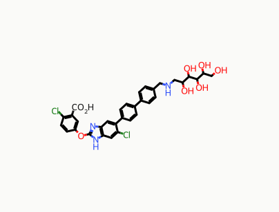 O=C(O)c1cc(Oc2nc3cc(-c4ccc(-c5ccc(CNCC(O)C(O)C(O)C(O)CO)cc5)cc4)c(Cl)cc3[nH]2)ccc1Cl